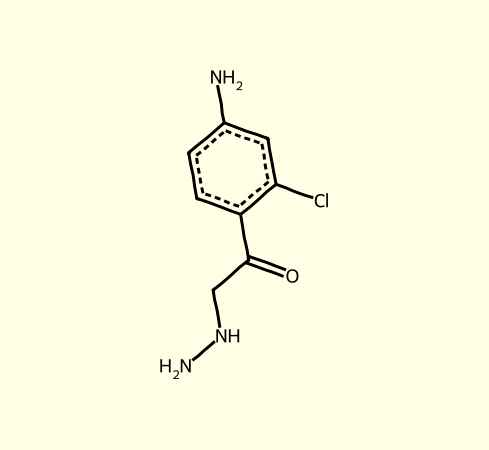 NNCC(=O)c1ccc(N)cc1Cl